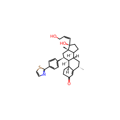 C[C@H]1C[C@@H]2[C@H]([C@@H](c3ccc(-c4nccs4)cc3)C[C@@]3(C)[C@H]2CC[C@@]3(O)/C=C\CO)[C@H]2CCC(=O)C=C12